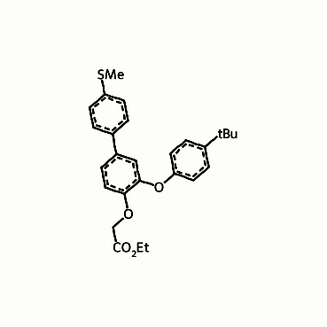 CCOC(=O)COc1ccc(-c2ccc(SC)cc2)cc1Oc1ccc(C(C)(C)C)cc1